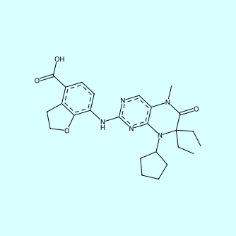 CCC1(CC)C(=O)N(C)c2cnc(Nc3ccc(C(=O)O)c4c3OCC4)nc2N1C1CCCC1